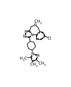 Cc1nn(C2CCC(c3nnc4n3-c3ccc(Cl)cc3CN(C)C4)CC2)c(C)c1C